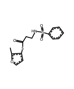 Cc1occc1SC(=O)CCNS(=O)(=O)c1ccccc1